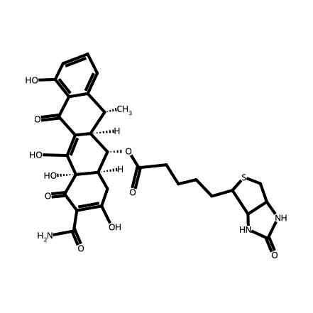 C[C@H]1c2cccc(O)c2C(=O)C2=C(O)[C@]3(O)C(=O)C(C(N)=O)=C(O)C[C@@H]3[C@@H](OC(=O)CCCCC3SCC4NC(=O)NC43)[C@@H]21